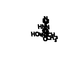 CC1(C)C(=O)N(CCO)c2cc3[nH]c(-c4ccncc4)nc3cc21